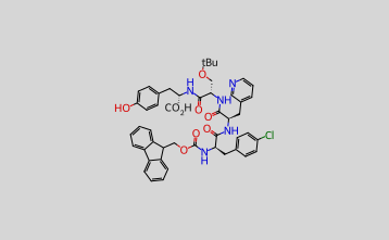 CC(C)(C)OC[C@H](NC(=O)[C@@H](Cc1cccnc1)NC(=O)[C@@H](Cc1ccc(Cl)cc1)NC(=O)OCC1c2ccccc2-c2ccccc21)C(=O)N[C@@H](Cc1ccc(O)cc1)C(=O)O